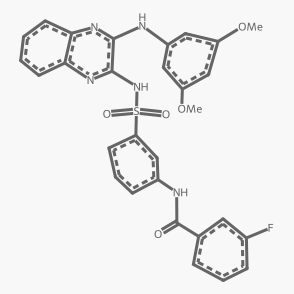 COc1cc(Nc2nc3ccccc3nc2NS(=O)(=O)c2cccc(NC(=O)c3cccc(F)c3)c2)cc(OC)c1